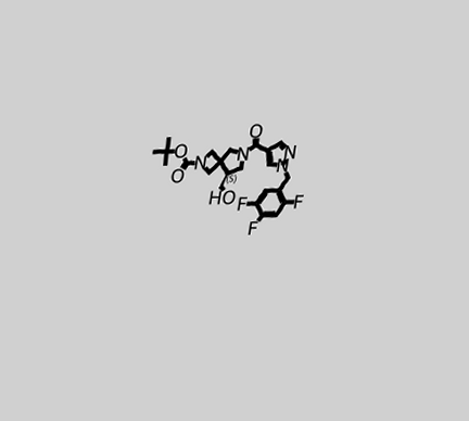 CC(C)(C)OC(=O)N1CC2(C1)CN(C(=O)c1cnn(Cc3cc(F)c(F)cc3F)c1)C[C@H]2CO